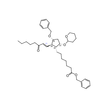 CCCCCC(=O)/C=C/[C@@H]1[C@@H](CCCCCCC(=O)OCc2ccccc2)[C@@H](OC2CCCCO2)C[C@H]1OCc1ccccc1